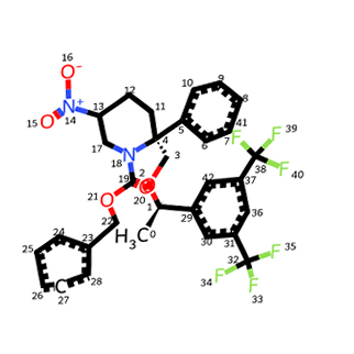 C[C@@H](OC[C@@]1(c2ccccc2)CCC([N+](=O)[O-])CN1C(=O)OCc1ccccc1)c1cc(C(F)(F)F)cc(C(F)(F)F)c1